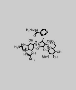 CN[C@@H]1[C@H](O[C@H]2[C@H](O[C@H]3[C@H](O)[C@@H](O)[C@H](NC(=N)N)[C@@H](O)[C@@H]3NC(=N)N)O[C@@H](C)[C@]2(O)C=O)O[C@@H](CO)[C@H](O)[C@H]1O.NNC(=O)c1ccncc1